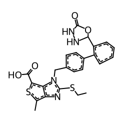 CCSc1nc2c(C)sc(C(=O)O)c2n1Cc1ccc(-c2ccccc2C2NNC(=O)O2)cc1